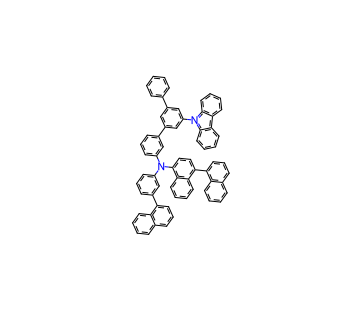 c1ccc(-c2cc(-c3cccc(N(c4cccc(-c5cccc6ccccc56)c4)c4ccc(-c5cccc6ccccc56)c5ccccc45)c3)cc(-n3c4ccccc4c4ccccc43)c2)cc1